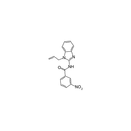 C=CCn1c(NC(=O)c2cccc([N+](=O)[O-])c2)nc2ccccc21